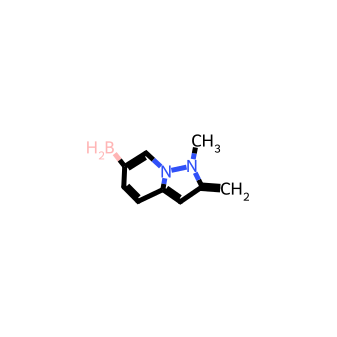 BC1=CN2C(=CC(=C)N2C)C=C1